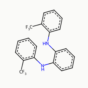 FC(F)(F)c1ccccc1Nc1ccccc1Nc1ccccc1C(F)(F)F